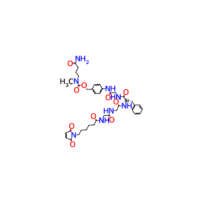 CN(CCCC(N)=O)C(=O)OCc1ccc(NC(=O)CNC(=O)[C@H](Cc2ccccc2)NC(=O)CNC(=O)CNC(=O)CCCCCN2C(=O)C=CC2=O)cc1